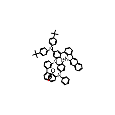 CC(C)(C)c1ccc(N(c2ccc(C(C)(C)C)cc2)c2cc3c4c(c2)N(c2cccc5c2oc2ccccc25)c2cc(N(c5ccccc5)c5ccccc5)ccc2B4n2c4cc5ccccc5cc4c4cccc-3c42)cc1